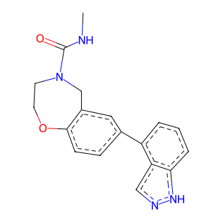 CNC(=O)N1CCOc2ccc(-c3cccc4[nH]ncc34)cc2C1